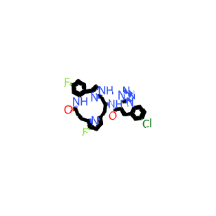 O=C(/C=C/c1cc(Cl)ccc1-n1cnnn1)NC1Cc2ccc(F)c(n2)CCC(=O)Nc2cc(F)ccc2-c2c[nH]c1n2